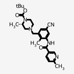 Cc1ccc(C(=O)Nc2cc(C#N)cc(CN3CCN(C(=O)OC(C)(C)C)[C@@H](C)C3)c2C)cn1